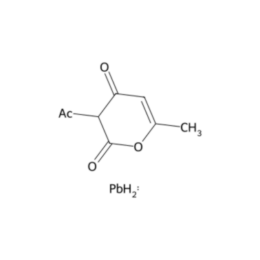 CC(=O)C1C(=O)C=C(C)OC1=O.[PbH2]